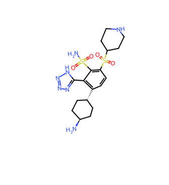 NS(=O)(=O)c1c(S(=O)(=O)C2CCNCC2)ccc([C@H]2CC[C@H](N)CC2)c1-c1nnn[nH]1